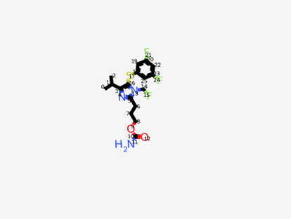 CC(C)c1nc(CCCOC(N)=O)n(CF)c1Sc1cc(F)cc(F)c1